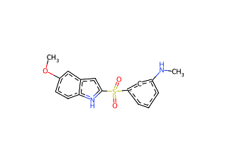 CNc1cccc(S(=O)(=O)c2cc3cc(OC)ccc3[nH]2)c1